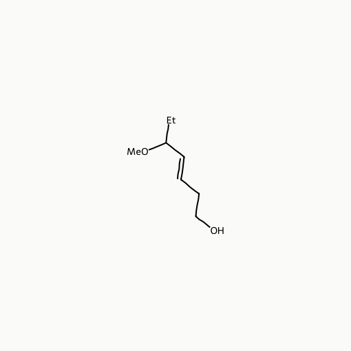 CCC(C=CCCO)OC